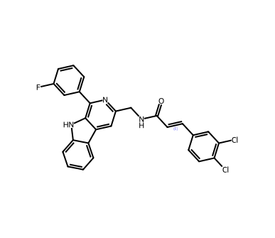 O=C(/C=C/c1ccc(Cl)c(Cl)c1)NCc1cc2c([nH]c3ccccc32)c(-c2cccc(F)c2)n1